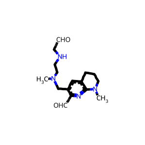 CN(CCNCC=O)Cc1cc2c(nc1C=O)N(C)CCC2